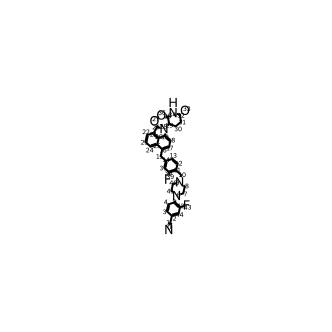 N#Cc1ccc(N2CCN(Cc3ccc(Cc4ccc5c6c(cccc46)C(=O)N5C4CCC(=O)NC4=O)cc3F)CC2)c(F)c1